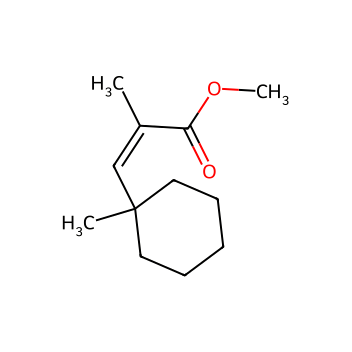 COC(=O)C(C)=CC1(C)CCCCC1